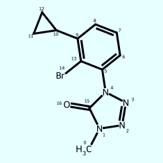 Cn1nnn(-c2cccc(C3CC3)c2Br)c1=O